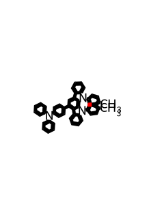 Cc1ccc(-n2c3ccccc3c3cc(-c4ccc(N(c5ccccc5)c5ccccc5)cc4)c4c5ccccc5n(-c5ccc(C)cc5)c4c32)cc1